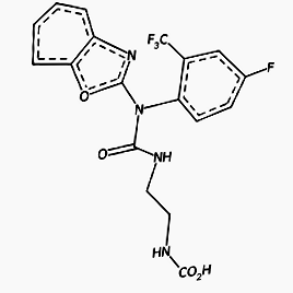 O=C(O)NCCNC(=O)N(c1nc2ccccc2o1)c1ccc(F)cc1C(F)(F)F